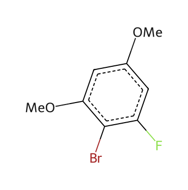 COc1cc(F)c(Br)c(OC)c1